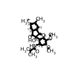 COc1cc(NC(=O)C(C)C)c(C2(O)C(=O)c3cc(C)c(C)cc3C2=O)cc1OC